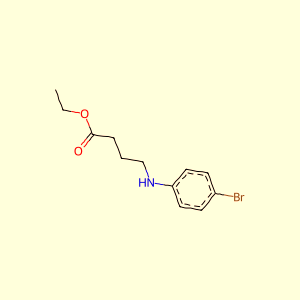 CCOC(=O)CCCNc1ccc(Br)cc1